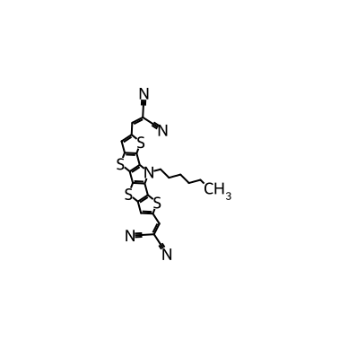 CCCCCCn1c2c3sc(C=C(C#N)C#N)cc3sc2c2sc3cc(C=C(C#N)C#N)sc3c21